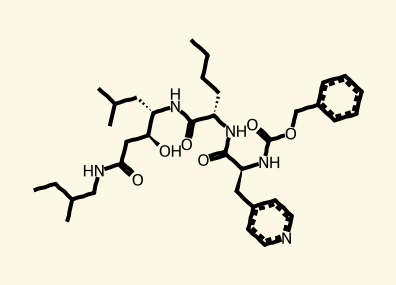 CCCC[C@H](NC(=O)[C@H](Cc1ccncc1)NC(=O)OCc1ccccc1)C(=O)N[C@@H](CC(C)C)[C@@H](O)CC(=O)NCC(C)CC